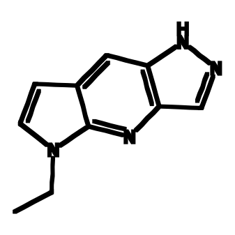 CCn1ccc2cc3[nH]ncc3nc21